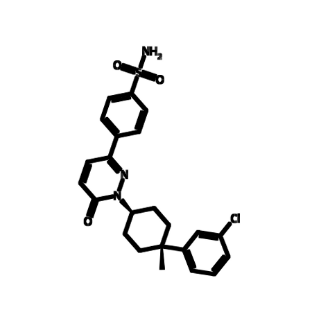 C[C@]1(c2cccc(Cl)c2)CC[C@H](n2nc(-c3ccc(S(N)(=O)=O)cc3)ccc2=O)CC1